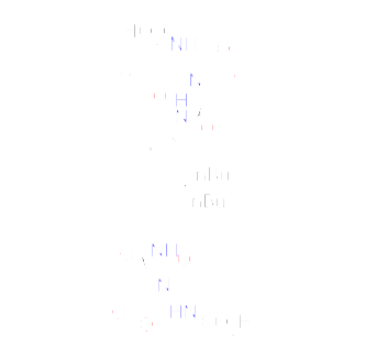 CCCCC1(CCCC)c2cc(NC(=O)[C@@H]3CC4(CN3C(=O)C(NC(=O)O)c3ccccc3)OCCO4)ccc2-c2ccc(NC(=O)[C@@H]3CC4(CN3C(=O)C(NC(=O)O)c3ccccc3)OCCO4)cc21